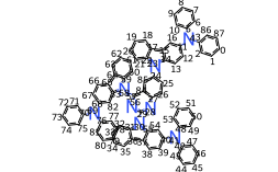 c1ccc(N(c2ccccc2)c2ccc3c(c2)c2ccccc2n3-c2ccc3nc(-n4c5ccccc5c5ccc(N(c6ccccc6)c6ccccc6)cc54)nc(-n4c5ccccc5c5ccc(N(c6ccccc6)c6ccccc6)cc54)c3c2)cc1